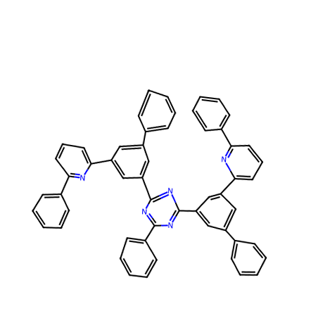 c1ccc(-c2cc(-c3cccc(-c4ccccc4)n3)cc(-c3nc(-c4ccccc4)nc(-c4cc(-c5ccccc5)cc(-c5cccc(-c6ccccc6)n5)c4)n3)c2)cc1